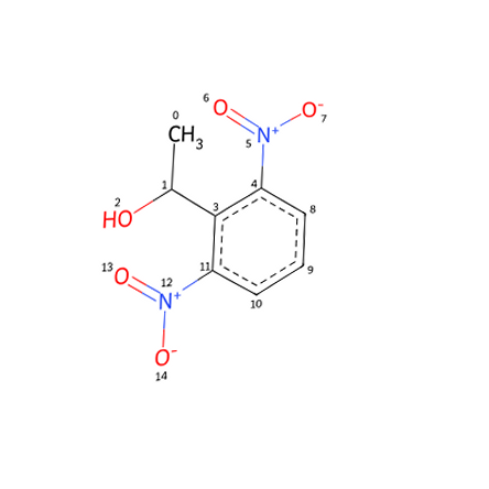 CC(O)c1c([N+](=O)[O-])cccc1[N+](=O)[O-]